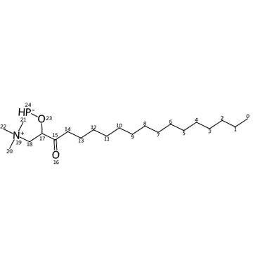 CCCCCCCCCCCCCCCC(=O)C(C[N+](C)(C)C)O[PH-]